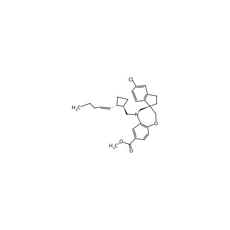 CCC/C=C/[C@@H]1CC[C@H]1CN1C[C@@]2(CCc3cc(Cl)ccc32)COc2ccc(C(=O)OC)cc21